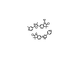 CN1C(=O)C(C)(C)c2ccc(-n3cc(-c4ccncc4)cn3)cc21.Cc1cc(-c2nc(C)c(-c3ccc4c(c3)N(C3CC3)C(=O)C4(C)C)o2)ccn1